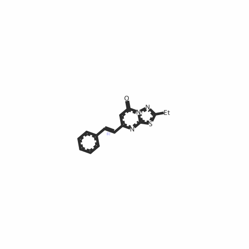 CCc1nn2c(=O)cc(/C=C/c3ccccc3)nc2s1